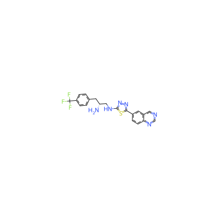 N[C@@H](CNc1nnc(-c2ccc3ncncc3c2)s1)Cc1ccc(C(F)(F)F)cc1